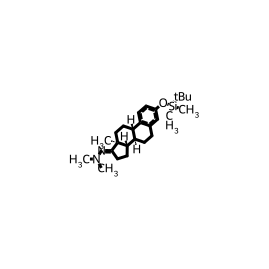 CN(C)N=C1CC[C@H]2[C@@H]3CCc4cc(O[Si](C)(C)C(C)(C)C)ccc4[C@H]3CC[C@]12C